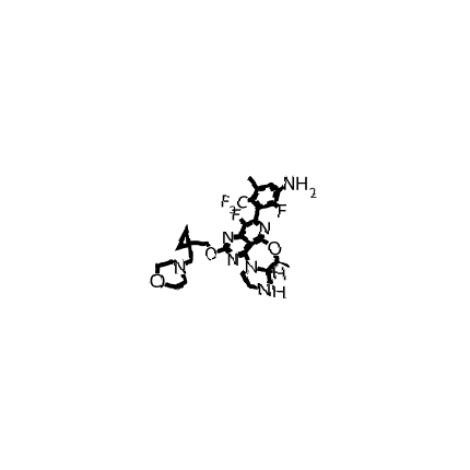 Cc1cc(N)c(F)c(-c2nc3c4c(nc(OCC5(CN6CCOCC6)CC5)nc4c2F)N2CCNC[C@H]2[C@H](C)O3)c1C(F)(F)F